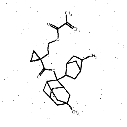 C=C(C)C(=O)OCCC1(C(=O)OC2(C3CC4CC3CC4C)C3CC4CC2CC(C)(C4)C3)CC1